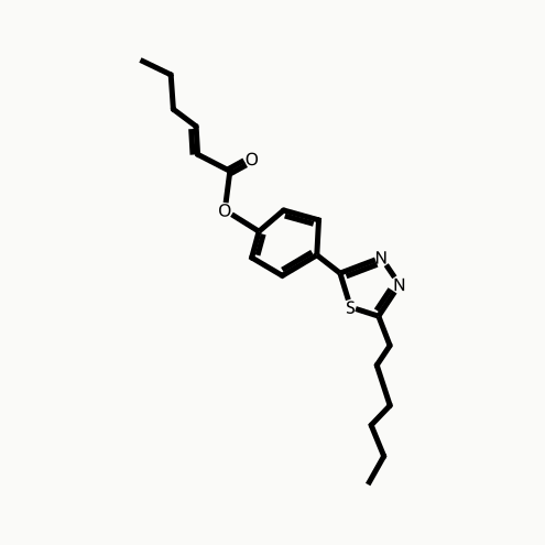 CCCC=CC(=O)Oc1ccc(-c2nnc(CCCCCC)s2)cc1